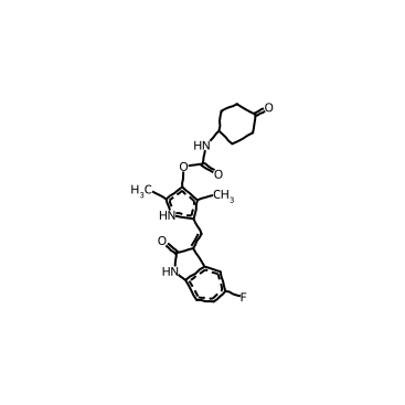 Cc1[nH]c(/C=C2\C(=O)Nc3ccc(F)cc32)c(C)c1OC(=O)NC1CCC(=O)CC1